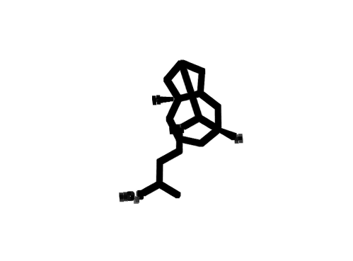 CC(CCNC1C2CC3C[C@@H]1CCC[C@H]3C2)S(=O)(=O)O